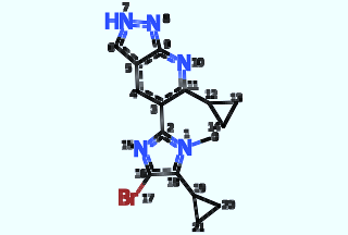 Cn1c(-c2cc3c[nH]nc3nc2C2CC2)nc(Br)c1C1CC1